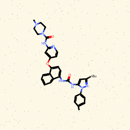 CCCCc1cc(NC(=O)Nc2ccc(Oc3ccnc(NC(=O)N4CCN(C)CC4)c3)c3ccccc23)n(-c2ccc(C)cc2)n1